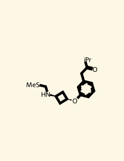 CSCN[C@H]1C[C@H](Oc2cccc(CC(=O)C(C)C)c2)C1